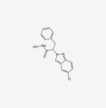 O=C(NO)C(Cc1ccccc1)n1cc2cc(Cl)ccc2n1